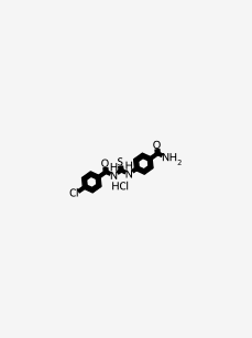 Cl.NC(=O)c1ccc(NC(=S)NC(=O)c2ccc(Cl)cc2)cc1